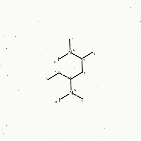 CCC(CC(C)N(C)I)N(C)I